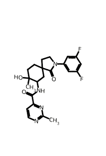 Cc1nccc(C(=O)NC2CC3(CCN(c4cc(F)cc(F)c4)C3=O)CCC2(C)O)n1